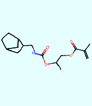 C=C(C)C(=O)OCC(C)OC(=O)NCC1CC2CCC1C2